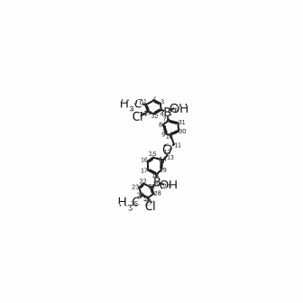 Cc1ccc(B(O)c2ccc(COCc3cccc(B(O)c4ccc(C)c(Cl)c4)c3)cc2)cc1Cl